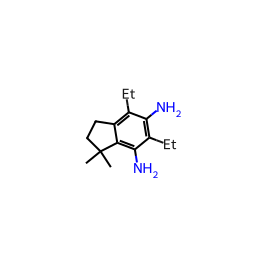 CCc1c(N)c(CC)c2c(c1N)C(C)(C)CC2